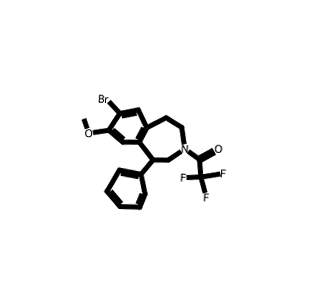 COc1cc2c(cc1Br)CCN(C(=O)C(F)(F)F)CC2c1ccccc1